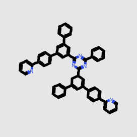 C1=C(c2ccc(-c3ccccn3)cc2)C=C(c2ccccc2)CC1c1nc(-c2ccccc2)nc(-c2cc(-c3ccccc3)cc(-c3ccc(-c4ccccn4)cc3)c2)n1